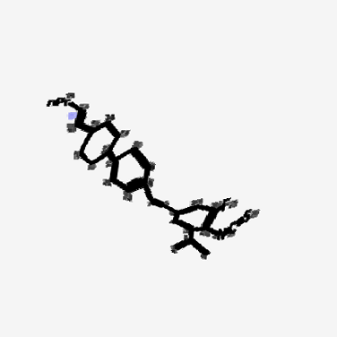 C=C(C)c1cc(C#Cc2ccc(C3CCC(/C=C/CCC)CC3)cc2)cc(F)c1N=C=S